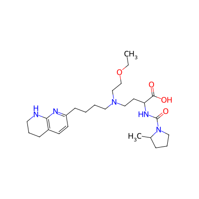 CCOCCN(CCCCc1ccc2c(n1)NCCC2)CCC(NC(=O)N1CCCC1C)C(=O)O